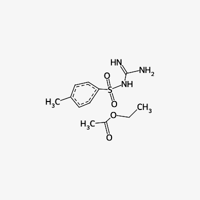 CCOC(C)=O.Cc1ccc(S(=O)(=O)NC(=N)N)cc1